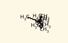 CCCCCCCCOC(=O)C(CC(=O)c1c(C)cc(C)cc1C)(CC(C)CC(C)(C)C)P=O